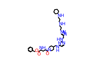 NC(CCC(=O)N1CCC(CNc2ccnc(NCc3cn(CCCNCCCNC4CCCCC4)nn3)n2)CC1)C(=O)OCc1ccccc1